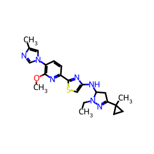 CCN1N=C(C2(C)CC2)CC1Nc1csc(-c2ccc(-n3cnc(C)c3)c(OC)n2)n1